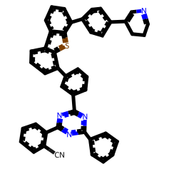 N#Cc1ccccc1-c1nc(-c2ccccc2)nc(-c2cccc(-c3cccc4c3sc3c(-c5ccc(C6=CN=CCC6)cc5)cccc34)c2)n1